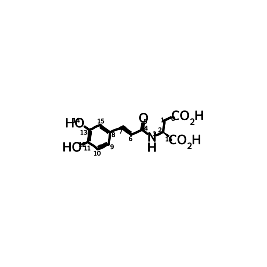 O=C(O)C[C@H](NC(=O)/C=C/c1ccc(O)c(O)c1)C(=O)O